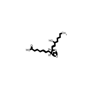 CCCCCC(O)/C=C/[C@H]1OC2CC(O2)[C@@H]1C/C=C/CCCC(=O)O